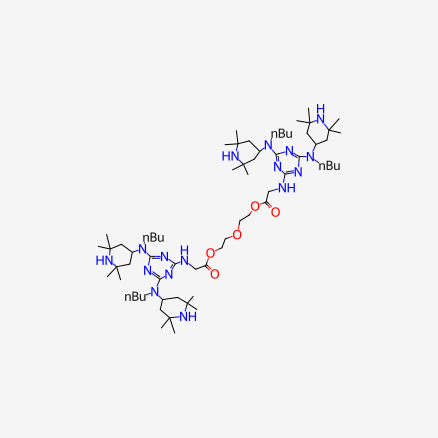 CCCCN(c1nc(NCC(=O)OCCOCCOC(=O)CNc2nc(N(CCCC)C3CC(C)(C)NC(C)(C)C3)nc(N(CCCC)C3CC(C)(C)NC(C)(C)C3)n2)nc(N(CCCC)C2CC(C)(C)NC(C)(C)C2)n1)C1CC(C)(C)NC(C)(C)C1